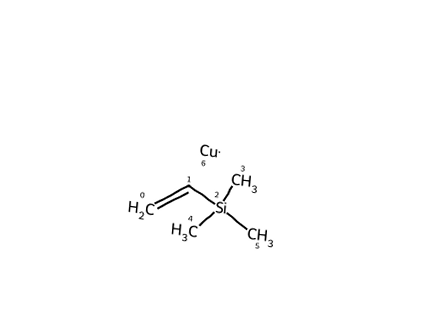 C=C[Si](C)(C)C.[Cu]